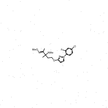 CNC(C)(CCOc1ccn(-c2ccc(Cl)cc2F)n1)C(C)=NOC